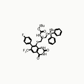 CC(C)(C)OC(=O)N[C@@H](CO[Si](c1ccccc1)(c1ccccc1)C(C)(C)C)CSc1c(-c2ccc(F)cc2)c(C(F)(F)F)cc2c(=O)[nH]c(=O)[nH]c12